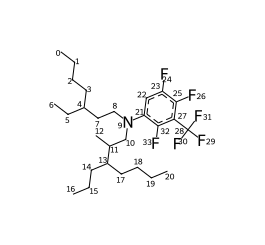 CCCCC(CC)CCN(CC(C)C(CCC)CCCC)c1cc(F)c(F)c(C(F)(F)F)c1F